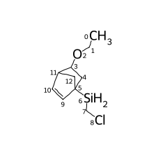 CCOC1CC2([SiH2]CCl)C=CC1C2